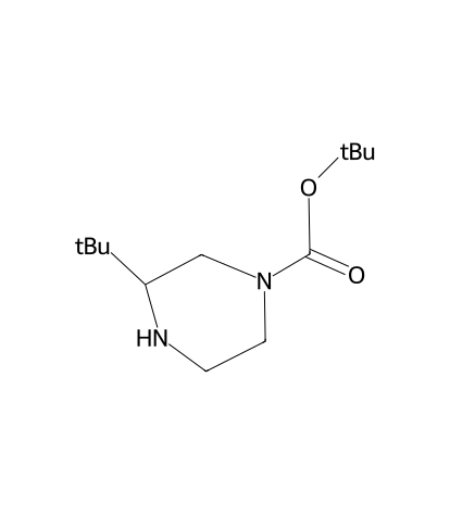 CC(C)(C)OC(=O)N1CCNC(C(C)(C)C)C1